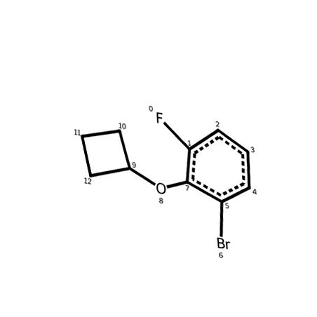 Fc1cccc(Br)c1OC1CCC1